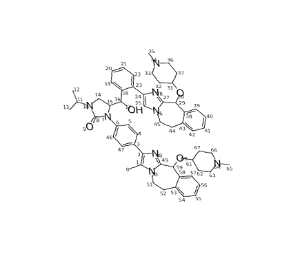 Cc1c(-c2ccc(N3C(=O)N(C(C)C)CC3C(O)c3ccccc3-c3cn4c(n3)C(OC3CCN(C)CC3)c3ccccc3CC4)cc2)nc2n1CCc1ccccc1C2OC1CCN(C)CC1